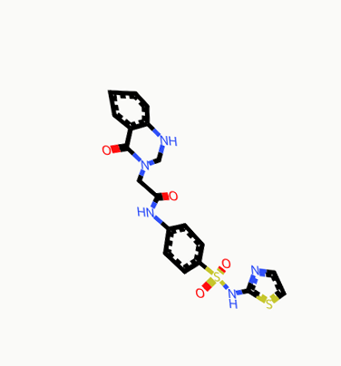 O=C(CN1CNc2ccccc2C1=O)Nc1ccc(S(=O)(=O)Nc2nccs2)cc1